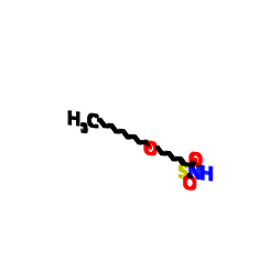 CCCCCCCCCCOCCCCC=C1SC(=O)NC1=O